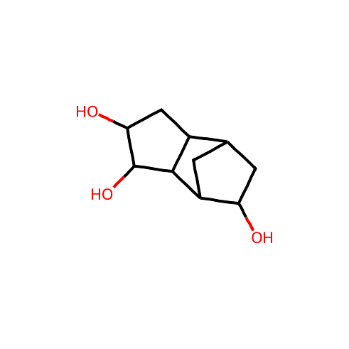 OC1CC2C3CC(O)C(C3)C2C1O